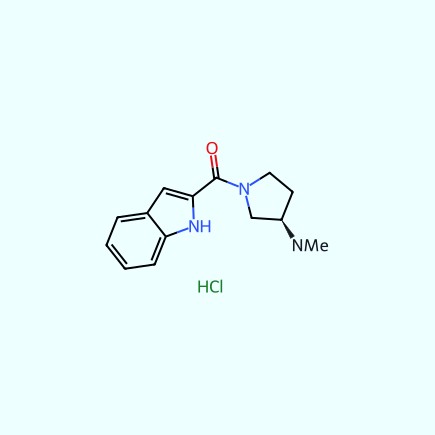 CN[C@@H]1CCN(C(=O)c2cc3ccccc3[nH]2)C1.Cl